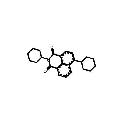 O=C1c2cccc3c(C4CCCCC4)ccc(c23)C(=O)N1C1CCCCC1